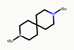 CC(C)(C)B1CCC2(CC1)CCN(C(C)(C)C)CC2